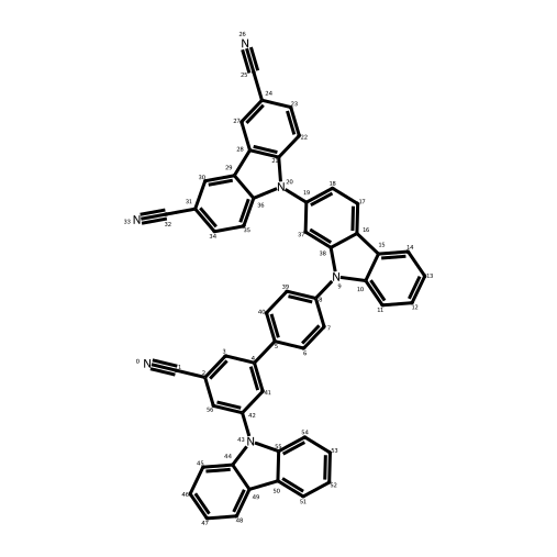 N#Cc1cc(-c2ccc(-n3c4ccccc4c4ccc(-n5c6ccc(C#N)cc6c6cc(C#N)ccc65)cc43)cc2)cc(-n2c3ccccc3c3ccccc32)c1